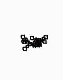 O=C(Oc1nccn1CC(CNc1ccc(Cl)cc1Cl)OCc1ccc(Cl)cc1)C(=O)Oc1nccn1CC(CNc1ccc(Cl)cc1Cl)OCc1ccc(Cl)cc1